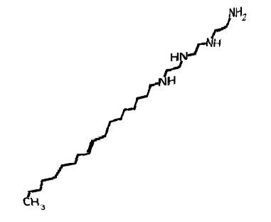 CCCCCCCCC=CCCCCCCCCNCCNCCNCCN